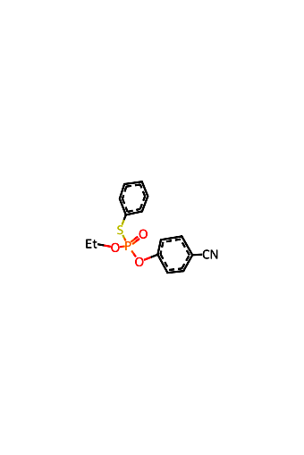 CCOP(=O)(Oc1ccc(C#N)cc1)Sc1ccccc1